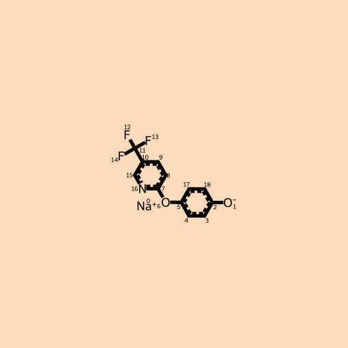 [Na+].[O-]c1ccc(Oc2ccc(C(F)(F)F)cn2)cc1